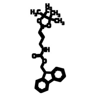 CC1(C)OB(/C=C/CNC(=O)OCC2c3ccccc3-c3ccccc32)OC1(C)C